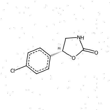 O=C1NC[C@@H](c2ccc(Cl)cc2)O1